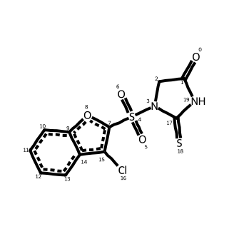 O=C1CN(S(=O)(=O)c2oc3ccccc3c2Cl)C(=S)N1